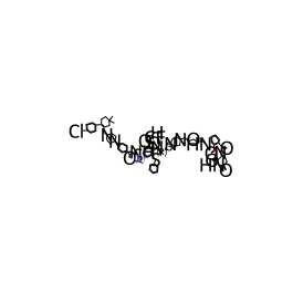 C/C=S(/NC(=O)c1ccc(N2CCN(CC3=C(c4ccc(Cl)cc4)CCC(C)(C)C3)CC2)cc1)c1ccc(N[C@H](CCN2CCN(CCOCCNc3cccc4c3C(=O)N(C3CCC(=O)NC3=O)C4=O)CC2)CSc2ccccc2)c(S(=O)(=O)C(F)(F)F)c1